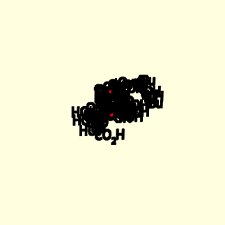 CC[C@H](C)[C@H](C[C@H](O)CC(=O)O[C@@H]1C[C@@H](O[C@@H]2O[C@@H](C)[C@H](OC3=C(O)[C@@H](O)[C@H](O)CO3)[C@@H](O[C@@H]3O[C@H](CO)[C@@H](O)[C@H](O)[C@H]3O)[C@H]2O)[C@H](OC(=O)[C@]23CCC(C)(C)C[C@H]2C2=CCC4[C@@]5(C)CC[C@H](O[C@H]6C[C@@H](O[C@@H]7OC[C@@H](O)C(O)=C7O)[C@H](O)[C@@H](C(=O)O)O6)[C@@](C)(C=O)[C@@H]5CC[C@@]4(C)[C@]2(C)C[C@H]3O)O[C@@H]1C)OC(=O)C[C@@H](O)C[C@H](O)[C@@H](C)CC